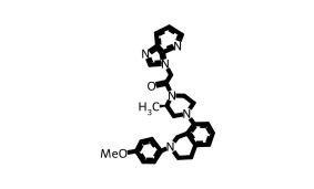 COc1ccc(N2CCc3cccc(N4CCN(C(=O)Cn5cnc6cccnc65)[C@H](C)C4)c3C2)cc1